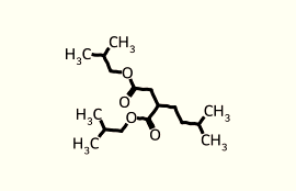 CC(C)CCC(CC(=O)OCC(C)C)C(=O)OCC(C)C